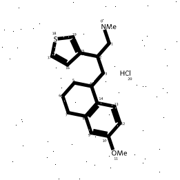 CNCC(CC1CCCc2cc(OC)ccc21)c1ccsc1.Cl